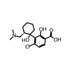 CN(C)C[C@H]1CCCC[C@]1(O)c1c(Cl)ccc(C(=O)O)c1O